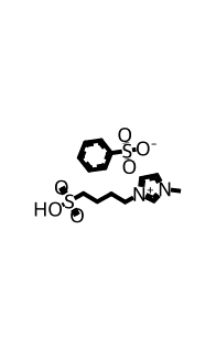 Cn1cc[n+](CCCCS(=O)(=O)O)c1.O=S(=O)([O-])c1ccccc1